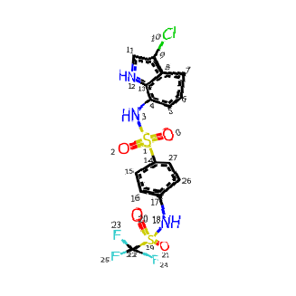 O=S(=O)(Nc1cccc2c(Cl)c[nH]c12)c1ccc(NS(=O)(=O)C(F)(F)F)cc1